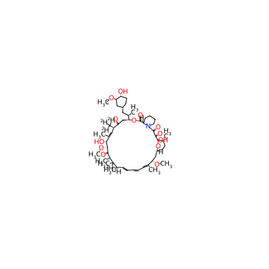 [2H]C([2H])([2H])[C@@H]1/C=C(\C)[C@@H](O)[C@@H](OC)C(=O)[C@H](C)C([2H])(C)[C@]([2H])(C)/C=C/C=C/C=C(\C)[C@@H](OC)C[C@@H]2CC[C@@H](C)[C@@](O)(O2)C(=O)C(=O)N2CCCC[C@H]2C(=O)O[C@H]([C@H](C)C[C@@H]2CC[C@@H](O)[C@H](OC)C2)CC1=O